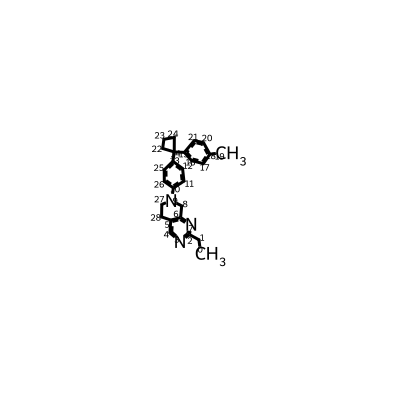 CCc1ncc2c(n1)CN(c1ccc(C3(c4ccc(C)cc4)CCC3)cc1)CC2